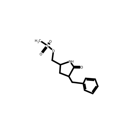 CS(=O)(=O)OCC1CC(Cc2ccccc2)C(=O)N1